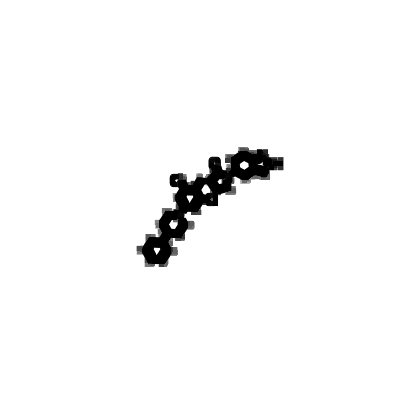 O=C1[C@H](Cc2c(Cl)cc(N3CCC(c4ccccc4)CC3)cc2Cl)CCN1[C@H]1CCc2n[nH]cc2C1